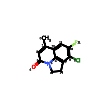 Cc1cc(=O)n2c3c(c(Cl)c(F)cc13)CC2